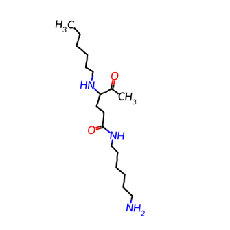 CCCCCCNC(CCC(=O)NCCCCCCN)C(C)=O